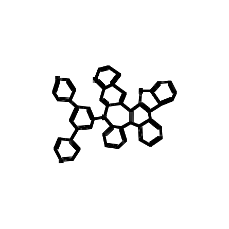 c1ccc2c(c1)-c1c(c3sc4ccccc4c3c3ccccc13)-c1cc3cccnc3cc1N2c1cc(-c2ccncc2)cc(-c2ccncc2)c1